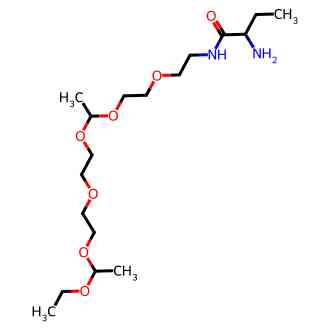 CCOC(C)OCCOCCOC(C)OCCOCCNC(=O)C(N)CC